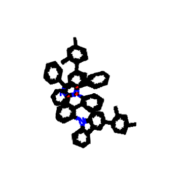 Cc1ccc(-c2ccc3c(c2)c2ccccc2n3-c2ccccc2-c2c(-c3nc(-c4ccccc4)cc(-c4ccccc4)n3)cccc2-n2c3ccccc3c3cc(-c4ccc(C)cc4C)ccc32)c(C)c1